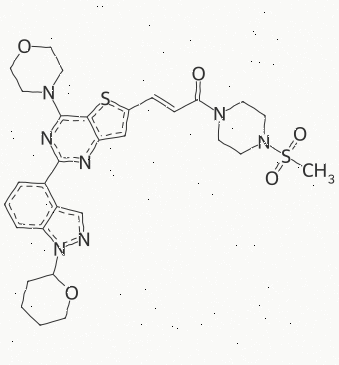 CS(=O)(=O)N1CCN(C(=O)/C=C/c2cc3nc(-c4cccc5c4cnn5C4CCCCO4)nc(N4CCOCC4)c3s2)CC1